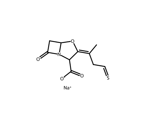 CC(CC=S)=C1OC2CC(=O)N2C1C(=O)[O-].[Na+]